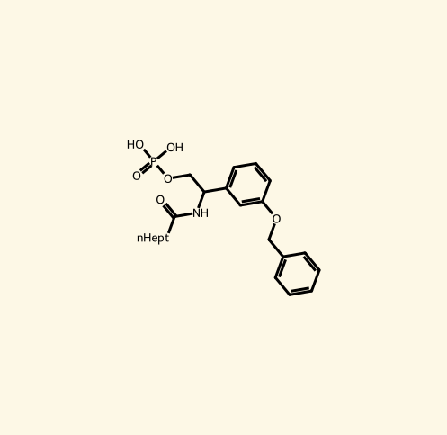 CCCCCCCC(=O)NC(COP(=O)(O)O)c1cccc(OCc2ccccc2)c1